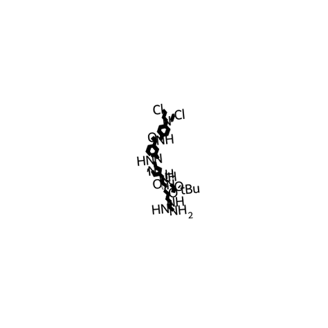 Cn1cc(NC(=O)[C@H](CCCNC(=N)N)NC(=O)OC(C)(C)C)cc1-c1nc2cc(C(=O)Nc3ccc(N(CCCl)CCCl)cc3)ccc2[nH]1